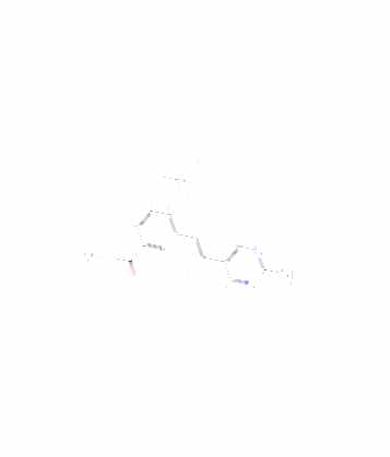 COC(=O)c1ccc(OC(F)F)c(/C=C(\F)c2cnc(N)nc2)c1